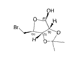 CC1(C)O[C@@H]2[C@H](O1)[C@@H](CBr)O[C@H]2O